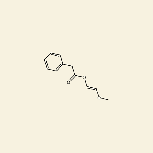 COC=COC(=O)Cc1ccccc1